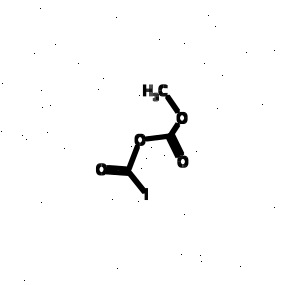 COC(=O)OC(=O)I